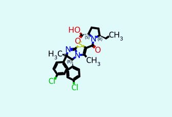 CC[C@@H]1CC[C@@H](C(=O)O)N1C(=O)C1=C(C)N2C(=N[C@@](C)(c3ccc(Cl)cc3)[C@H]2c2ccc(Cl)cc2)S1